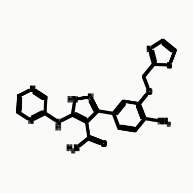 NC(=O)c1c(-c2ccc(N)c(OCc3nccs3)c2)n[nH]c1Nc1cnccn1